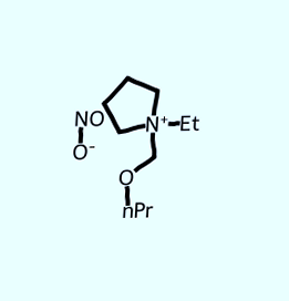 CCCOC[N+]1(CC)CCCC1.O=N[O-]